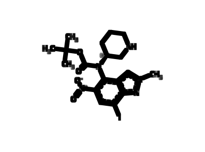 Cn1cc2c(N(C(=O)OC(C)(C)C)[C@H]3CCCNC3)c([N+](=O)[O-])cc(I)c2n1